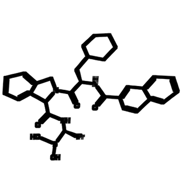 CC(C)[C@H](NC(=O)C1c2ccccc2CN1C(=O)[C@@H](CC1CCCCC1)NC(=O)c1ccc2ccccc2c1)B(O)O